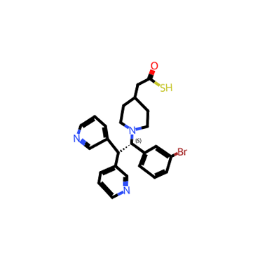 O=C(S)CC1CCN([C@H](c2cccc(Br)c2)C(c2cccnc2)c2cccnc2)CC1